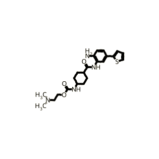 CN(C)CCOC(=O)NC1CCC(C(=O)Nc2cc(-c3cccs3)ccc2N)CC1